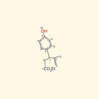 C=C(C)C(CC(=O)OCC)c1ccc(O)cc1